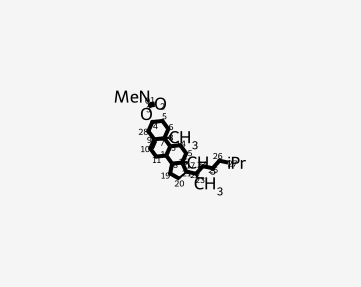 CNC(=O)O[C@H]1CC[C@@]2(C)C(=CCC3C2CC[C@@]2(C)C3CC[C@@H]2[C@H](C)CCCC(C)C)C1